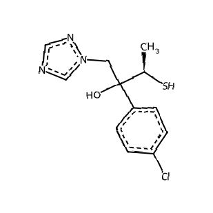 C[C@@H](S)C(O)(Cn1cncn1)c1ccc(Cl)cc1